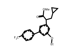 CCOc1cc(-c2ccc(C(F)(F)F)cc2)cc(C(CC2CC2)C(=O)OC)c1